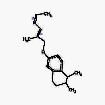 C/C=N\C=C(/C)COc1ccc2c(c1)CCC(C)C2C